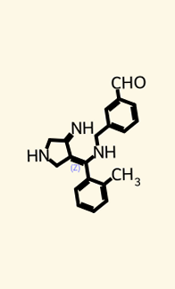 Cc1ccccc1/C(NCc1cccc(C=O)c1)=C1\CNCC1=N